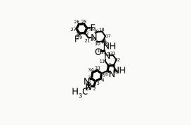 Cn1cc2cc(-c3n[nH]c4c3CN(C(=O)N[C@@H]3CCCN(Cc5c(F)cccc5F)C3)CC4)ccc2n1